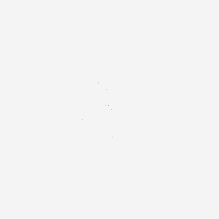 CCCN1CC(CSC)C[C@@H]2c3cc(Br)cc4[nH]c(C)c(c34)C[C@H]21